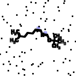 C=C(C)CCC/C=C\N=C\OC(C)(C)C